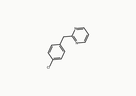 Clc1ccc(Cc2ncccn2)cc1